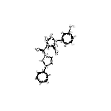 O=C(N1CCC(c2ccccc2)C1)n1nnn(-c2cccc(F)c2)c1=O